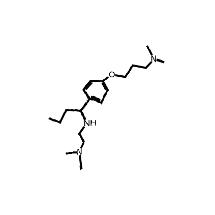 CCCC(NCCN(C)C)c1ccc(OCCCN(C)C)cc1